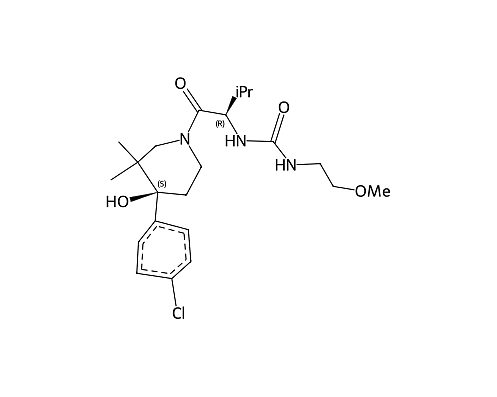 COCCNC(=O)N[C@@H](C(=O)N1CC[C@](O)(c2ccc(Cl)cc2)C(C)(C)C1)C(C)C